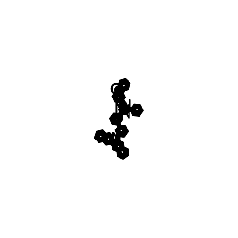 c1ccc(-c2nc(-c3cccc(-c4cccc(-n5c6cc7ccccc7cc6c6cc7ccccc7cc65)c4)c3)nc(-c3ccc4oc5ccccc5c4c3)n2)cc1